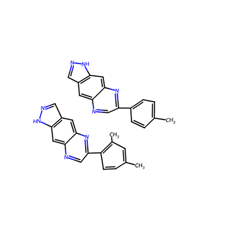 Cc1ccc(-c2cnc3cc4[nH]ncc4cc3n2)c(C)c1.Cc1ccc(-c2cnc3cc4cn[nH]c4cc3n2)cc1